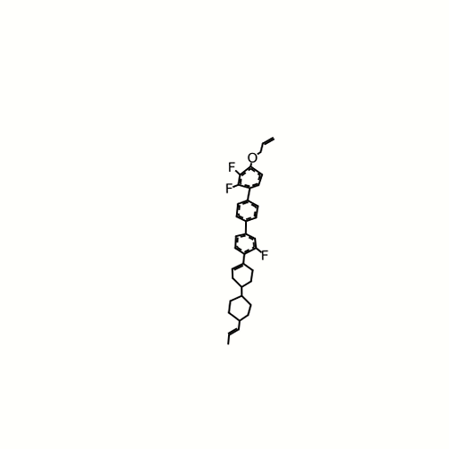 C=CCOc1ccc(-c2ccc(-c3ccc(C4=CCC(C5CCC(/C=C/C)CC5)CC4)c(F)c3)cc2)c(F)c1F